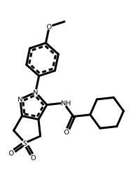 COc1ccc(-n2nc3c(c2NC(=O)C2CCCCC2)CS(=O)(=O)C3)cc1